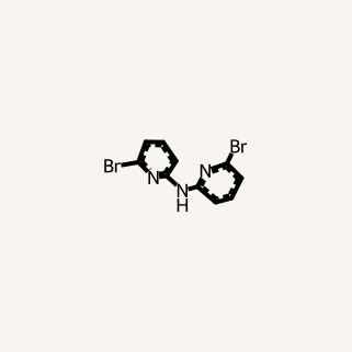 Brc1cccc(Nc2cccc(Br)n2)n1